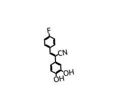 N#C/C(=C\c1ccc(F)cc1)c1ccc(O)c(O)c1